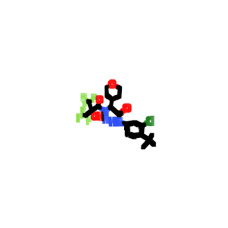 CC(C)(C)c1ccc(NC(=O)C(NC(=O)C(O)(C(F)(F)F)C(F)(F)F)C2CCOCC2)cc1Cl